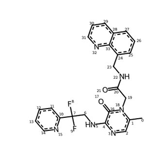 Cc1cnc(NCC(F)(F)c2ccccn2)c(=O)n1CC(=O)NCc1cccc2cccnc12